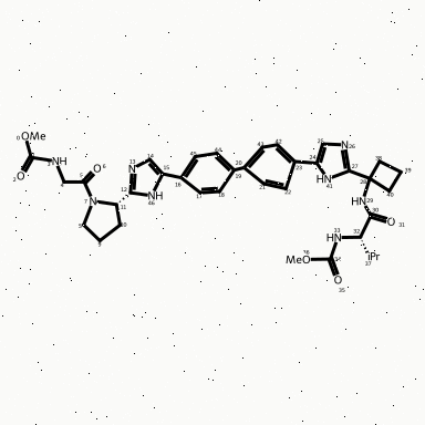 COC(=O)NCC(=O)N1CCC[C@H]1c1ncc(-c2ccc(-c3ccc(-c4cnc(C5(NC(=O)[C@@H](NC(=O)OC)C(C)C)CCC5)[nH]4)cc3)cc2)[nH]1